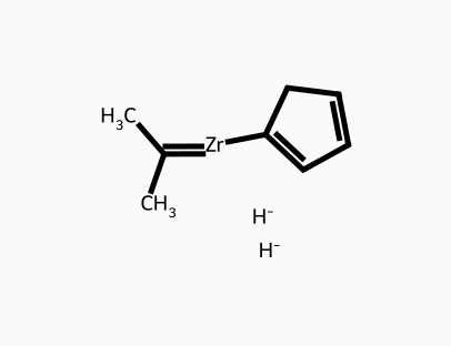 C[C](C)=[Zr][C]1=CC=CC1.[H-].[H-]